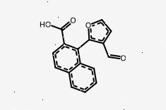 O=Cc1ccoc1-c1c(C(=O)O)ccc2ccccc12